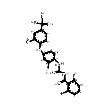 O=C(NC(=O)c1c(F)cccc1F)Nc1ccc(Sc2ccc(C(F)(F)F)cc2Cl)cc1F